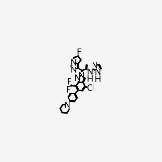 C=C(Nc1ncc[nH]1)C(c1ncn2c1C[C@@H](F)C2)n1cc2c(Cl)cc(-c3ccc(N4CCCCC4)cc3)c(C(F)F)c2n1